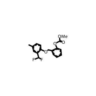 COC(=O)Oc1ccccc1COc1ccc(C)cc1C(F)F